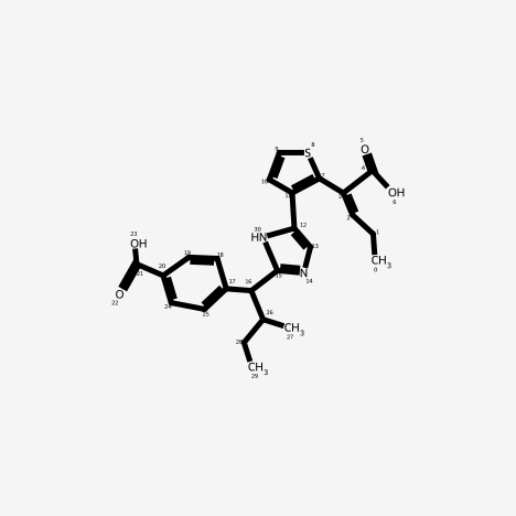 CCC=C(C(=O)O)c1sccc1-c1cnc(C(c2ccc(C(=O)O)cc2)C(C)CC)[nH]1